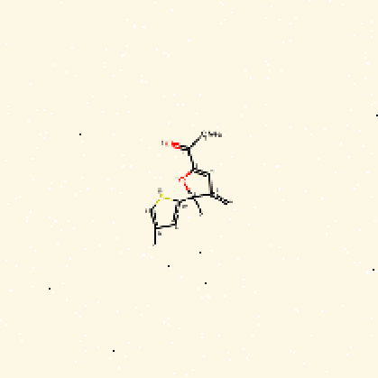 C=C1C=C(C(=O)OC)OC1(C)c1cc(C)cs1